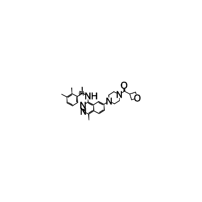 Cc1cccc([C@@H](C)Nc2nnc(C)c3ccc(N4CCN(C(=O)C5COC5)CC4)cc23)c1C